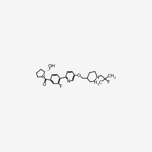 CC(C)(F)CN1CCC(COc2ccc(-c3ccc(C(=O)N4CCC[C@@H]4CO)cc3F)nc2)CC1